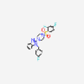 O=S(=O)(c1ccc(F)cc1F)N1CCN(c2nc3ccccc3n2Cc2ccc(F)cc2)CC1